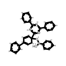 OB(OC1(c2nc(-c3ccccc3)nc(-c3ccccc3)n2)C=CC(c2ccccc2)=CC1)c1ccccc1